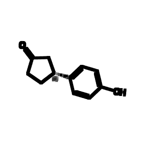 O=C1CC[C@@H](c2ccc(O)cc2)C1